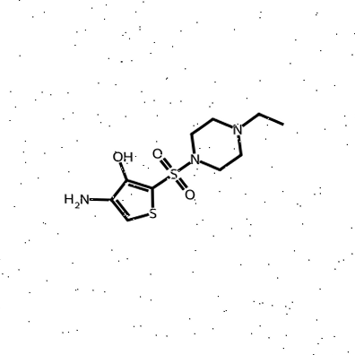 CCN1CCN(S(=O)(=O)c2scc(N)c2O)CC1